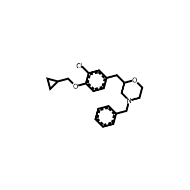 Clc1cc(CC2CN(Cc3ccccc3)CCO2)ccc1OCC1CC1